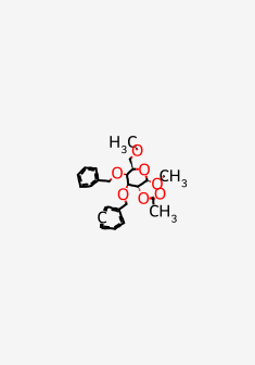 COC[C@H]1O[C@H](OC)[C@H](OC(C)=O)[C@@H](OCc2ccccc2)[C@@H]1OCc1ccccc1